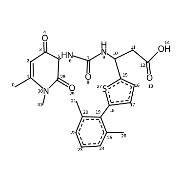 CC1=CC(=O)C(NC(=O)NC(CC(=O)O)c2ccc(-c3c(C)cccc3C)s2)C(=O)N1C